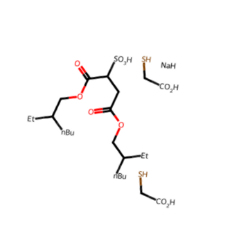 CCCCC(CC)COC(=O)CC(C(=O)OCC(CC)CCCC)S(=O)(=O)O.O=C(O)CS.O=C(O)CS.[NaH]